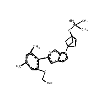 COCOc1cc(C(F)(F)F)cc(C)c1-c1cc2ccn(C34CCC(O[Si](C)(C)C(C)(C)C)(C3)C4)c2nn1